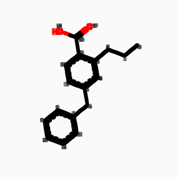 CCCc1cc(Cc2ccccc2)ccc1C(=O)O